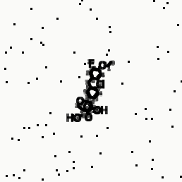 CCOc1ccc(Cc2cc([C@@]34CC(O)C(=O)[C@@](CO)(CO3)O4)ccc2Cl)cc1F